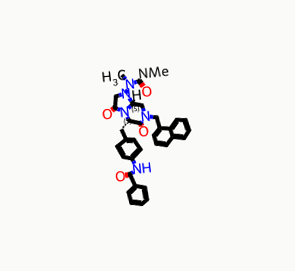 CNC(=O)N(C)N1CC(=O)N2[C@@H](Cc3ccc(NC(=O)c4ccccc4)cc3)C(=O)N(Cc3cccc4ccccc34)C[C@@H]21